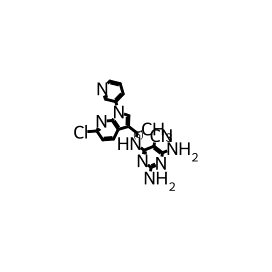 C[C@H](Nc1nc(N)nc(N)c1C#N)c1cn(-c2cccnc2)c2nc(Cl)ccc12